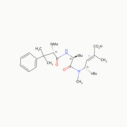 CCCC[C@@H](/C=C(\C)C(=O)O)N(C)C(=O)[C@@H](NC(=O)[C@@H](NC)C(C)(C)c1ccccc1)C(C)(C)C